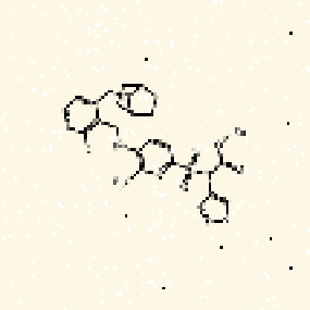 CC(C)(C)OC(=O)N(c1cscn1)S(=O)(=O)c1ccc(NCc2c(F)cccc2CN2C3CCC2CC3)c(C(F)(F)F)n1